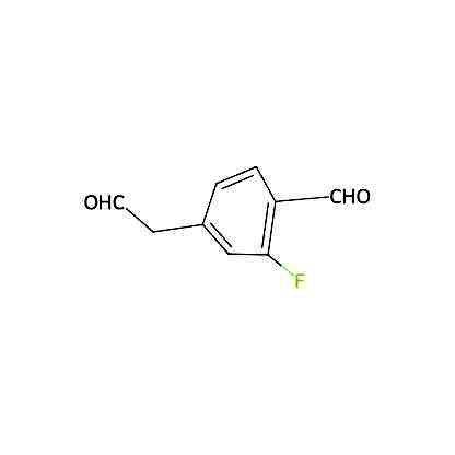 O=CCc1ccc(C=O)c(F)c1